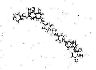 O=C1CCN(c2cnc3cc(N4CCC(N5CC(N6CCC(COc7cc(F)c8c(=O)[nH]c(COC9CCOCC9)nc8c7)CC6)C5)CC4)ccn23)C(=O)N1